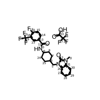 Cn1c(=O)n(CC2CCC(NC(=O)c3ccc(F)c(C(F)(F)F)c3)CC2)c2ccccc21.O=C(O)C(F)(F)F